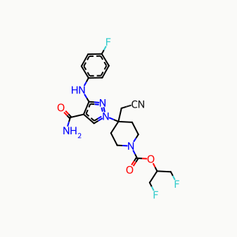 N#CCC1(n2cc(C(N)=O)c(Nc3ccc(F)cc3)n2)CCN(C(=O)OC(CF)CF)CC1